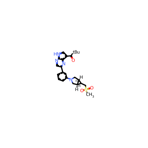 CC(C)(C)C(=O)c1c[nH]c2ncc(-c3cccc(N4C[C@@H]5C(CS(C)(=O)=O)[C@@H]5C4)c3)nc12